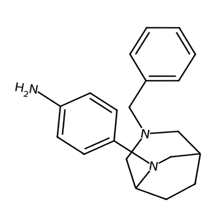 Nc1ccc(N2CC3CCC2CN(Cc2ccccc2)C3)cc1